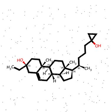 CC[C@]1(O)CC[C@@]2(C)C(=CC[C@H]3[C@@H]4CC[C@H]([C@H](C)CCCC5(O)CC5)[C@@]4(C)CC[C@@H]32)C1